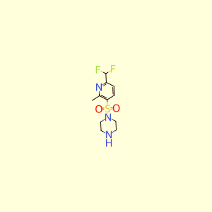 Cc1nc(C(F)F)ccc1S(=O)(=O)N1CCNCC1